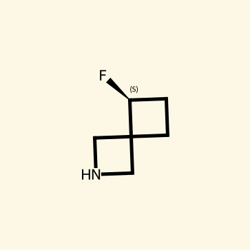 F[C@H]1CCC12CNC2